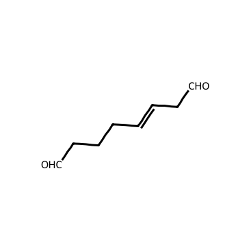 O=CCC=CCCCC=O